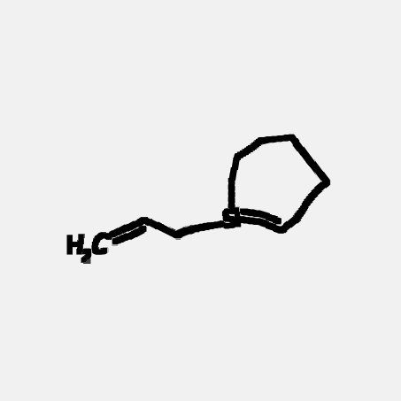 C=CC[Si]1=CCCC1